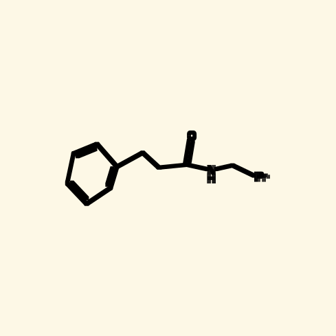 C[C](C)CNC(=O)CCc1ccccc1